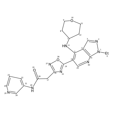 CCn1ncc2c(NC3CCOCC3)c(-c3nc(CC(=O)Nc4cccnc4)no3)cnc21